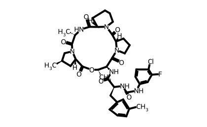 Cc1cccc(C[C@H](NC(=O)Nc2ccc(Cl)c(F)c2)C(=O)N[C@@H]2C(=O)N3CCC[C@H]3C(=O)N3CCCC[C@H]3C(=O)N[C@@H](C)C(=O)N3C[C@H](C)C[C@H]3C(=O)O[C@H]2C)c1